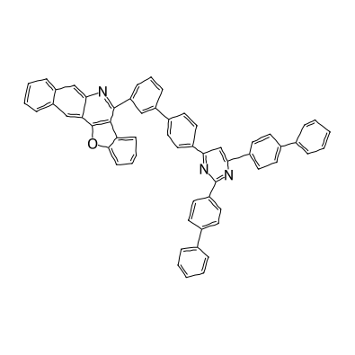 c1ccc(-c2ccc(-c3cc(-c4ccc(-c5cccc(-c6nc7cc8ccccc8cc7c7oc8ccccc8c67)c5)cc4)nc(-c4ccc(-c5ccccc5)cc4)n3)cc2)cc1